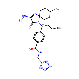 CCNC1=NC2(CCC(C(C)(C)C)CC2)N([C@H](CCC(C)(C)C)c2ccc(C(=O)NCc3nn[nH]n3)cc2)C1=O